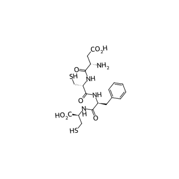 N[C@@H](CC(=O)O)C(=O)N[C@@H](CS)C(=O)N[C@@H](Cc1ccccc1)C(=O)N[C@@H](CS)C(=O)O